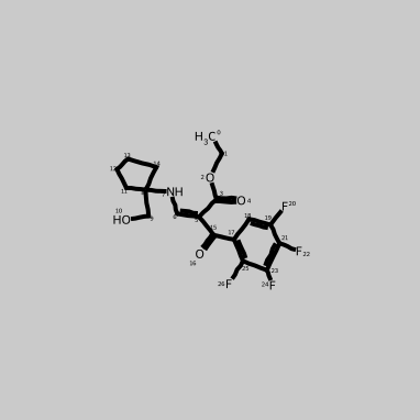 CCOC(=O)C(=CNC1(CO)CCCC1)C(=O)c1cc(F)c(F)c(F)c1F